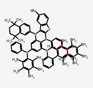 Bc1c(B)c(B)c(-c2ccc3c(c2)N(c2ccccc2-c2c(B)c(B)c(B)c(B)c2B)c2cc(N(c4ccccc4)c4c(B)c(B)c(B)c(B)c4B)cc4c2B3c2sc3ccc(C(C)(C)C)cc3c2N4c2ccc3c(c2)C(C)(C)CCC3(C)C)c(B)c1B